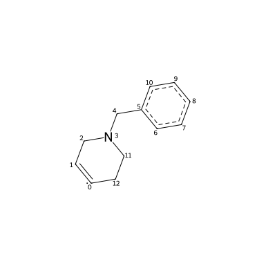 [C]1=CCN(Cc2ccccc2)CC1